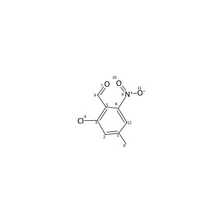 Cc1cc(Cl)c(C=O)c([N+](=O)[O-])c1